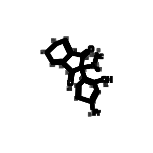 CC(=O)N(C)C1(c2ccc(C(C)C)cc2O)C(=O)C2=CCCC=C2C1=O